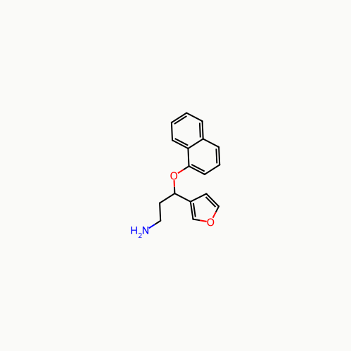 NCCC(Oc1cccc2ccccc12)c1ccoc1